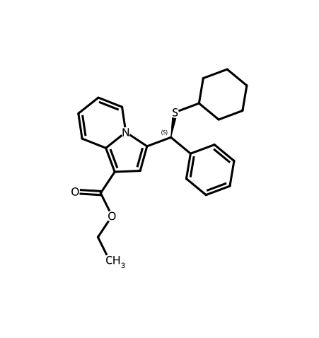 CCOC(=O)c1cc([C@@H](SC2CCCCC2)c2ccccc2)n2ccccc12